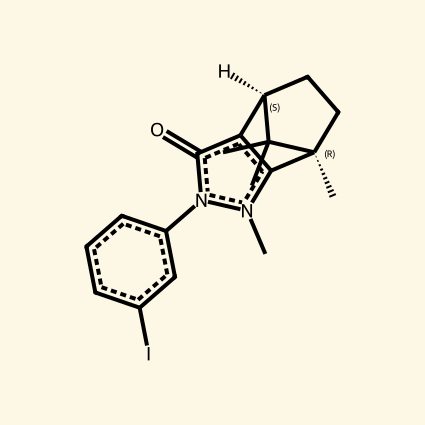 Cn1c2c(c(=O)n1-c1cccc(I)c1)[C@H]1CC[C@]2(C)C1(C)C